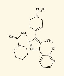 Cc1c(C2=CCN(C(=O)O)CC2)nnn1-c1cccnc1Cl.NC(=O)N1CCCCC1